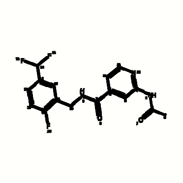 CC(=O)Nc1cc(C(=O)NCc2cc(C(F)F)ccc2F)ccn1